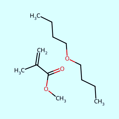 C=C(C)C(=O)OC.CCCCOCCCC